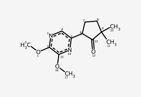 COc1ncc(C2CCC(C)(C)C2=O)nc1OC